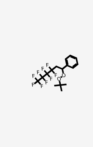 CC(C)(C)OOC(CC(F)(F)C(F)(F)C(F)(F)C(F)(F)F)c1ccccc1